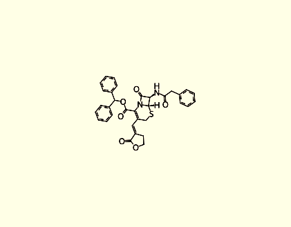 O=C(Cc1ccccc1)N[C@@H]1C(=O)N2C(C(=O)OC(c3ccccc3)c3ccccc3)=C(/C=C3\CCOC3=O)CS[C@@H]12